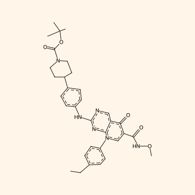 CCc1ccc(-n2cc(C(=O)NOC)c(=O)c3cnc(Nc4ccc(C5CCN(C(=O)OC(C)(C)C)CC5)cc4)nc32)cc1